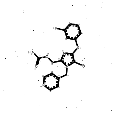 CC(C)c1c(Sc2cccc(F)c2)nc(COC(N)=O)n1Cc1ccncc1